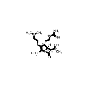 C[C@@H](O)[C@H]1C(=O)N2C(C(=O)O)=C(SCCN(C)C)[C@H](CCNC(=N)N)[C@H]12